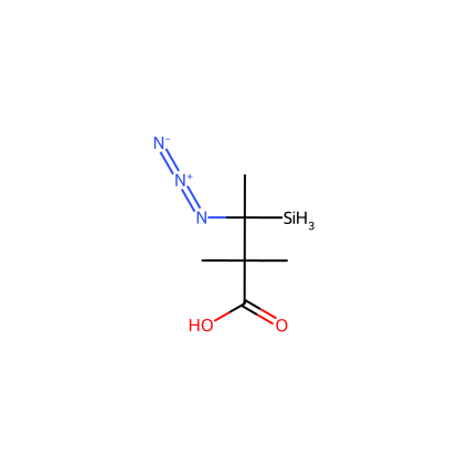 CC([SiH3])(N=[N+]=[N-])C(C)(C)C(=O)O